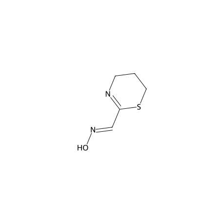 ON=CC1=NCCCS1